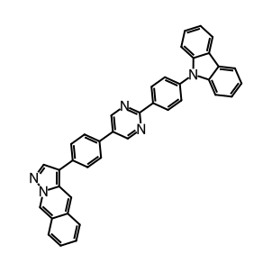 c1ccc2cn3ncc(-c4ccc(-c5cnc(-c6ccc(-n7c8ccccc8c8ccccc87)cc6)nc5)cc4)c3cc2c1